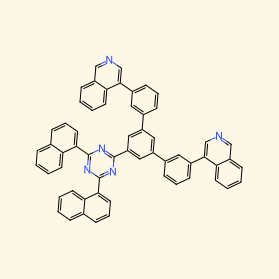 c1cc(-c2cc(-c3cccc(-c4cncc5ccccc45)c3)cc(-c3nc(-c4cccc5ccccc45)nc(-c4cccc5ccccc45)n3)c2)cc(-c2cncc3ccccc23)c1